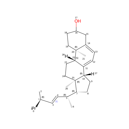 CC(C)[C@@H](C)/C=C/[C@@H](C)[C@H]1CC[C@H]2C3=CC=C4CC(O)CC[C@]4(C)[C@H]3CC[C@]12C